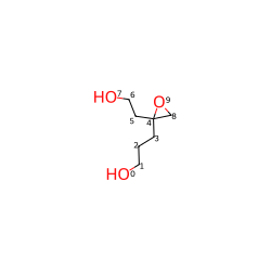 OCCCC1(CCO)CO1